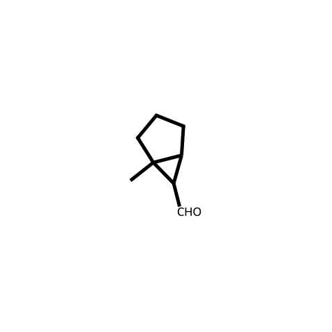 CC12CCCC1C2C=O